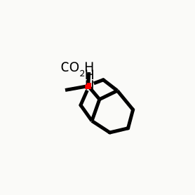 CC(C(=O)O)C1C2CCCC1CNC2